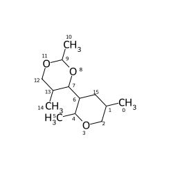 CC1COC(C)C(C2OC(C)OCC2C)C1